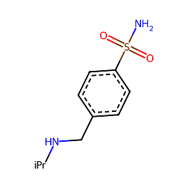 CC(C)NCc1ccc(S(N)(=O)=O)cc1